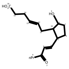 CCCC(=O)C=CC1CCC(O)C1CC=CCCC(=O)O